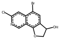 OC1COc2c1cc(Br)c1cc(Cl)ncc21